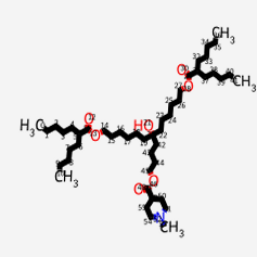 CCCCCC(CCCCC)C(=O)OCCCCCCC(O)(CCCCCCOC(=O)C(CCCCC)CCCCC)CCCCOC(=O)C1CCN(C)CC1